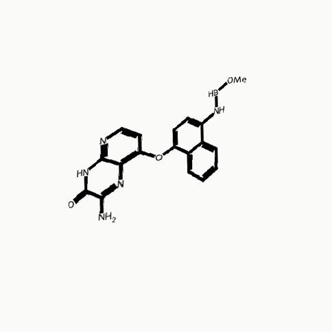 COBNc1ccc(Oc2ccnc3[nH]c(=O)c(N)nc23)c2ccccc12